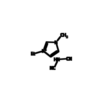 CC[n+]1ccn(C)c1.N#CNC#N